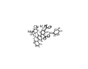 N#Cc1ccc2c(C(Cc3ccccc3)c3cccc(-c4ccc(C(N)=O)cc4C(=O)OCc4ccccc4)c3)c[nH]c2c1